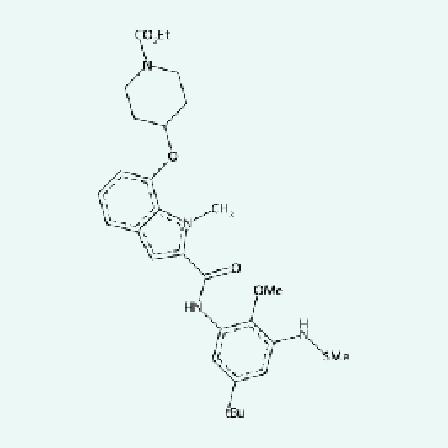 CCOC(=O)N1CCC(Oc2cccc3cc(C(=O)Nc4cc(C(C)(C)C)cc(NSC)c4OC)n(C)c23)CC1